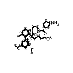 COCCCC[C@](O)(c1cccc(F)c1-c1cc(OC)cc(OC)c1)[C@H]1CN(C(=O)[C@@H]2CC[C@H](N)C2)CCO1